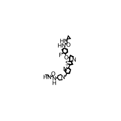 CCNC(=O)NC1CCN(Cc2ccc(-c3cc4nccc(Oc5ccc(NC(=O)NC6CC6)cc5F)c4s3)nc2)CC1